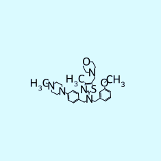 COc1cccc(CN(Cc2ccc(N3CCN(C)CC3)cc2)c2nc(C)c(CN3CCOCC3)s2)c1